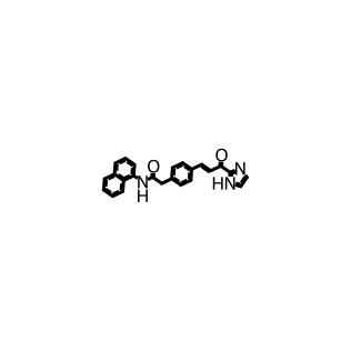 O=C(Cc1ccc(/C=C/C(=O)c2ncc[nH]2)cc1)Nc1cccc2ccccc12